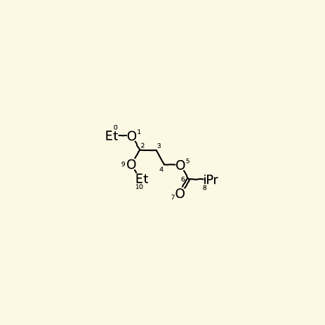 CCOC(CCOC(=O)C(C)C)OCC